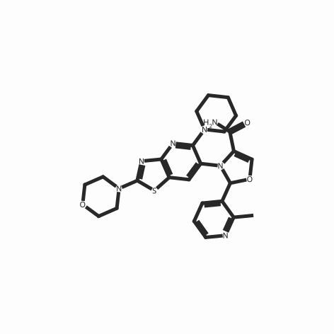 Cc1ncccc1C1OC=C(C(N)=O)N1c1cc2sc(N3CCOCC3)nc2nc1N1CCCCC1